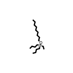 CCCCCCCCC[O][Sn]([CH2]C)([CH2]CCC)[CH2]CCC